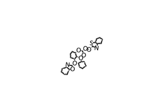 O=C(OOc1nc2ccccc2s1)Oc1cccc(Oc2nc3ccccc3o2)c1Oc1ccccc1